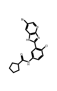 O=C(Nc1ccc(Cl)c(-c2nc3ncc(Br)cc3[nH]2)c1)C1CCCC1